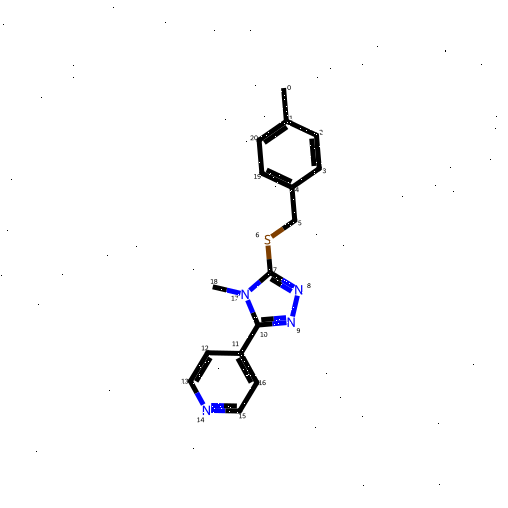 Cc1ccc(CSc2nnc(-c3ccncc3)n2C)cc1